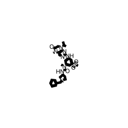 CC(C)N1CC(=O)N(C)c2cnc(Nc3cc(N(C)C(=O)NC4CCN(Cc5ccccc5)C4)cc(S(C)(=O)=O)c3)nc21